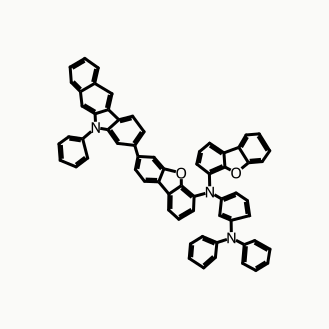 c1ccc(N(c2ccccc2)c2cccc(N(c3cccc4c3oc3ccccc34)c3cccc4c3oc3cc(-c5ccc6c7cc8ccccc8cc7n(-c7ccccc7)c6c5)ccc34)c2)cc1